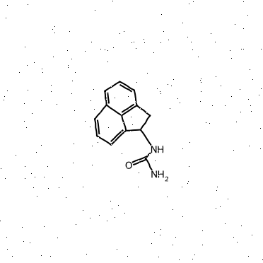 NC(=O)NC1Cc2cccc3cccc1c23